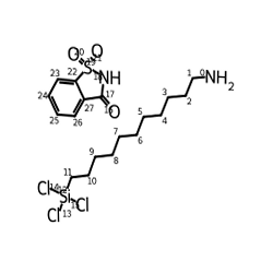 NCCCCCCCCCCC[Si](Cl)(Cl)Cl.O=C1NS(=O)(=O)c2ccccc21